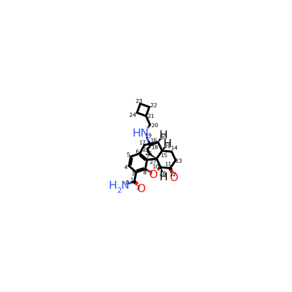 NC(=O)c1ccc2c3c1O[C@H]1C(=O)CC[C@H]4[C@@H](C2)C(NCC2CCC2)CC[C@]314